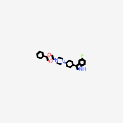 Fc1ccc2[nH]cc(C3CCC(N4CCN(C5=COC(C6=CC=CCC6)=CO5)CC4)CC3)c2c1